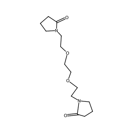 O=C1CCCN1CCOCCOCCN1CCCC1=O